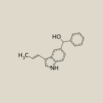 CC=Cc1c[nH]c2ccc(C(O)c3ccccc3)cc12